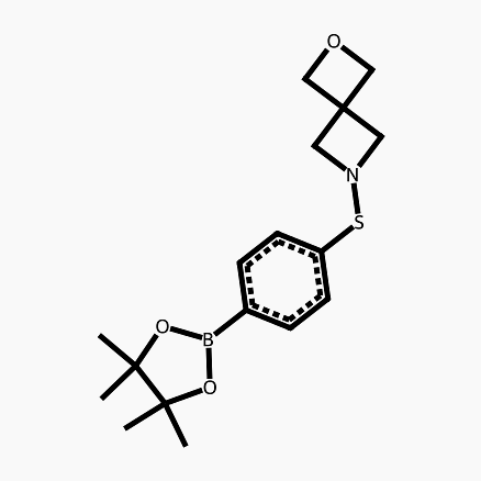 CC1(C)OB(c2ccc(SN3CC4(COC4)C3)cc2)OC1(C)C